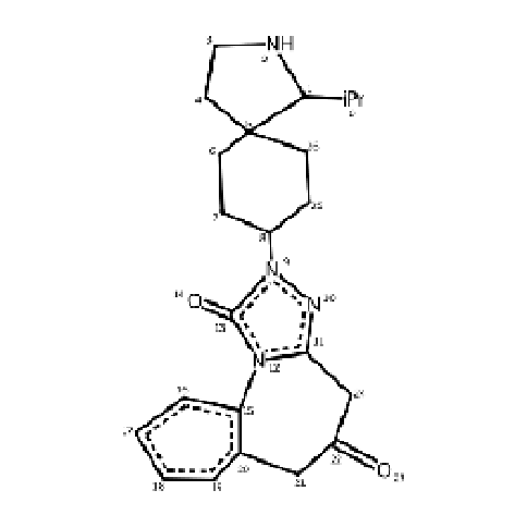 CC(C)C1NCCC12CCC(n1nc3n(c1=O)-c1ccccc1CC(=O)C3)CC2